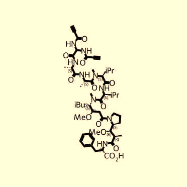 C#CC(=O)NC(NC(=O)C#C)C(=O)N[C@@H](C)C(=O)N[C@@H](C)C(=O)N(C)[C@H](C(=O)N[C@H](C(=O)N(C)[C@@H]([C@@H](C)CC)[C@@H](CC(=O)N1CCC[C@H]1[C@H](OC)[C@@H](C)C(=O)N[C@@H](Cc1ccccc1)C(=O)O)OC)C(C)C)C(C)C